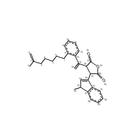 C=C(C)CCCCCc1ccccc1C(=C)C1C(=O)OC(=O)C1C1=CC(C)c2ccccc21